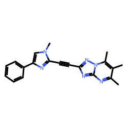 Cc1nc2nc(C#Cc3nc(-c4ccccc4)cn3C)nn2c(C)c1C